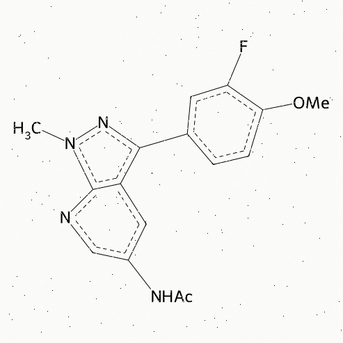 COc1ccc(-c2nn(C)c3ncc(NC(C)=O)cc23)cc1F